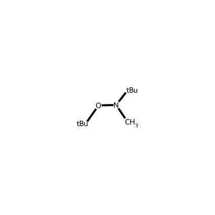 CN(OC(C)(C)C)C(C)(C)C